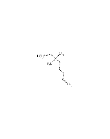 C=CCCCC(CC(=O)O)(C(F)(F)F)C(F)(F)F